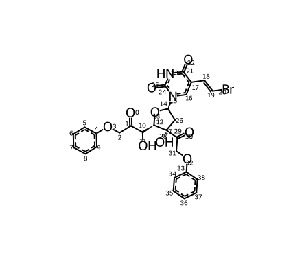 O=C(COc1ccccc1)C(O)[C@H]1O[C@@H](n2cc(C=CBr)c(=O)[nH]c2=O)C[C@@]1(O)C(=O)COc1ccccc1